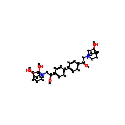 O=C(C[N+]12CCC(CC1)C(O)C2)c1ccc(-c2ccc(C(=O)C[N+]34CCC(CC3)C(O)C4O)cc2)cc1